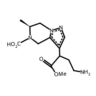 COC(=O)C(CCN)c1cnn2c1CN(C(=O)O)[C@@H](C)C2